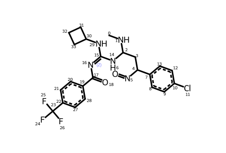 CNC(CC(N=O)c1ccc(Cl)cc1)N/C(=N\C(=O)c1ccc(C(F)(F)F)cc1)NC1CCC1